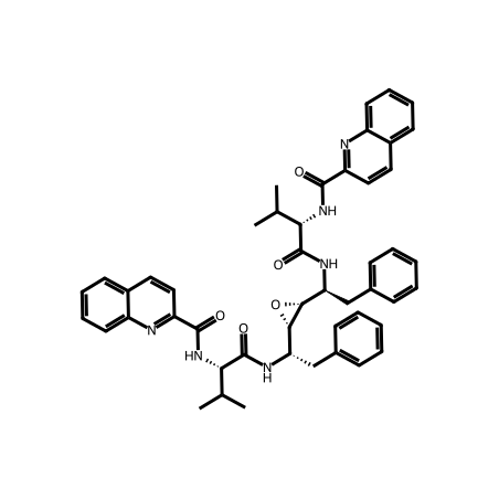 CC(C)[C@H](NC(=O)c1ccc2ccccc2n1)C(=O)N[C@@H](Cc1ccccc1)[C@@H]1O[C@@H]1[C@H](Cc1ccccc1)NC(=O)[C@@H](NC(=O)c1ccc2ccccc2n1)C(C)C